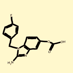 Nc1nc2cc(OC(=O)O)ccc2n1Cc1ccc(F)cc1